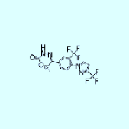 C[C@@H]1OC(=O)NN=C1c1ccc(-n2ccc(C(F)(F)F)n2)c(C(F)(F)F)c1